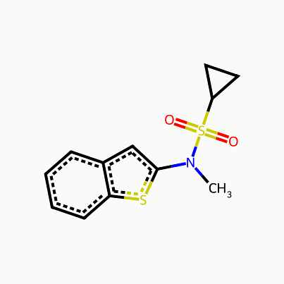 CN(c1cc2ccccc2s1)S(=O)(=O)C1CC1